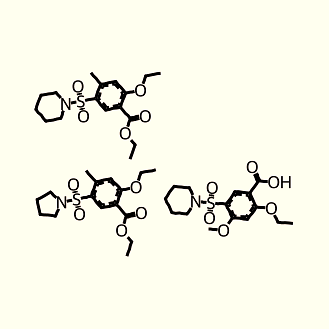 CCOC(=O)c1cc(S(=O)(=O)N2CCCC2)c(C)cc1OCC.CCOC(=O)c1cc(S(=O)(=O)N2CCCCC2)c(C)cc1OCC.CCOc1cc(OC)c(S(=O)(=O)N2CCCCC2)cc1C(=O)O